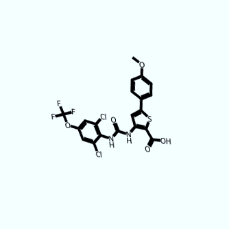 COc1ccc(-c2cc(NC(=O)Nc3c(Cl)cc(OC(F)(F)F)cc3Cl)c(C(=O)O)s2)cc1